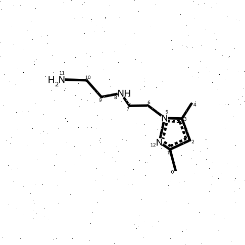 Cc1cc(C)n(CCNCCN)n1